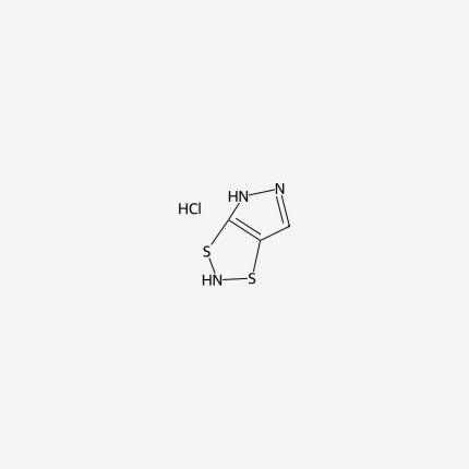 Cl.c1n[nH]c2c1SNS2